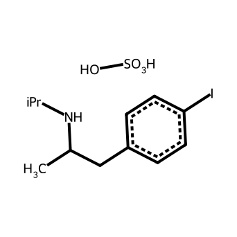 CC(C)NC(C)Cc1ccc(I)cc1.O=S(=O)(O)O